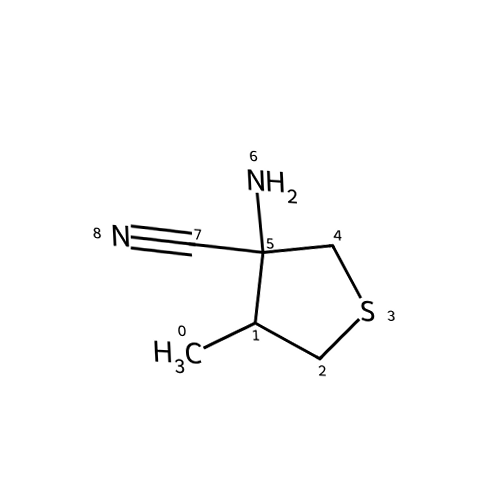 CC1CSCC1(N)C#N